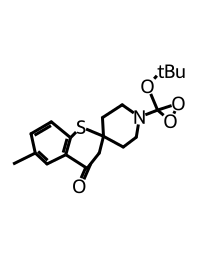 Cc1ccc2c(c1)C(=O)CC1(CCN(C3(OC(C)(C)C)OO3)CC1)S2